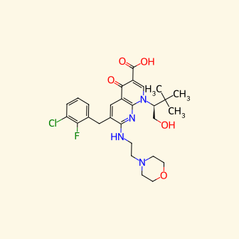 CC(C)(C)[C@@H](CO)n1cc(C(=O)O)c(=O)c2cc(Cc3cccc(Cl)c3F)c(NCCN3CCOCC3)nc21